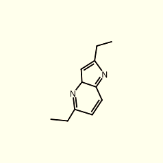 CCC1=CC2N=C(CC)C=CC2=N1